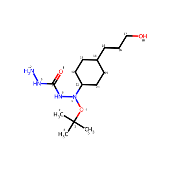 CC(C)(C)ON(NC(=O)NN)C1CCC(CCCO)CC1